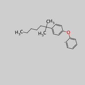 CCCCCC(C)(C)c1ccc(Oc2[c]cccc2)cc1